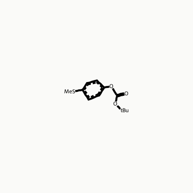 CSc1ccc(OC(=O)OC(C)(C)C)cc1